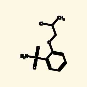 CC(Cl)COc1ccccc1S(N)(=O)=O